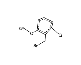 CCCOc1cccc(Cl)c1CBr